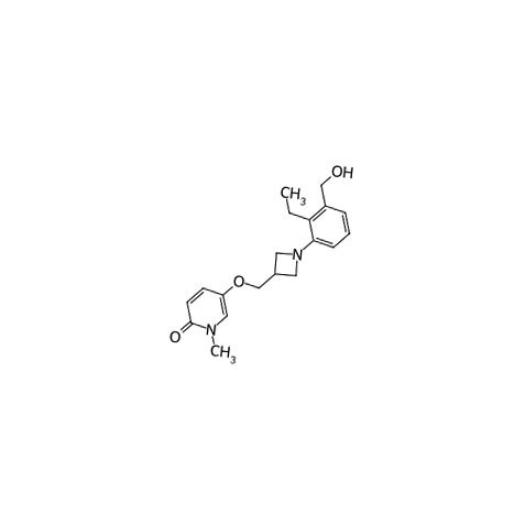 CCc1c(CO)cccc1N1CC(COc2ccc(=O)n(C)c2)C1